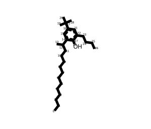 CCCCCCCCCCCCC(C)c1cc(C(C)(C)C)cc(CCCC)c1O